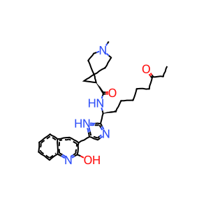 CCC(=O)CCCCC[C@H](NC(=O)[C@H]1CC12CCN(C)CC2)c1ncc(-c2cc3ccccc3nc2O)[nH]1